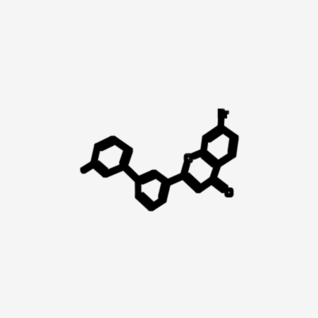 Cc1cccc(-c2cccc(-c3cc(=O)c4ccc(Br)cc4o3)c2)c1